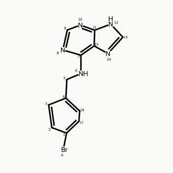 Brc1ccc(CNc2ncnc3[nH]cnc23)cc1